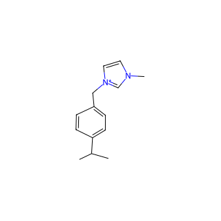 CC(C)c1ccc(C[n+]2ccn(C)c2)cc1